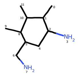 CC1C(N)CC(CN)C(C)C1C